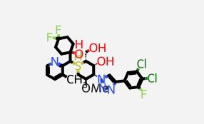 CO[C@H]1C[SH](C(c2ncccc2C)C2(O)CCC(F)(F)CC2)[C@H](CO)[C@H](O)[C@@H]1n1cc(-c2cc(F)c(Cl)c(Cl)c2)nn1